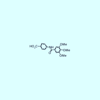 COc1cc(C(=O)Nc2ccc(C(=O)O)cc2)cc(OC)c1OC